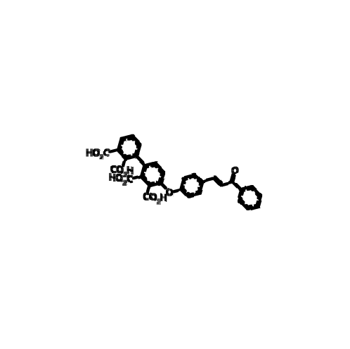 O=C(C=Cc1ccc(Oc2ccc(-c3cccc(C(=O)O)c3C(=O)O)c(C(=O)O)c2C(=O)O)cc1)c1ccccc1